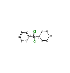 [Cl][Sn]([Cl])([c]1ccccc1)[CH]1CCCCC1